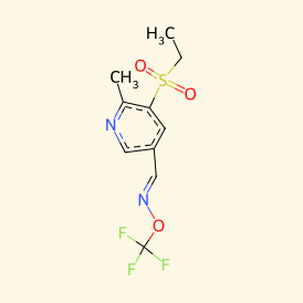 CCS(=O)(=O)c1cc(/C=N/OC(F)(F)F)cnc1C